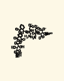 NCC(=O)NCC(=O)[O-].NCC(=O)NCC(=O)[O-].O=C([O-])C(O)C(O)C(=O)[O-].O=C([O-])C(O)C(O)C(=O)[O-].O=C([O-])c1ccccc1C(=O)[O-].O=C([O-])c1ccccc1C(=O)[O-].[Sn+2].[Sn+2].[Sn+2].[Sn+2].[Sn+2]